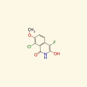 COc1ccc2c(F)c(O)[nH]c(=O)c2c1Cl